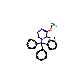 COC1=NCCN(C(c2ccccc2)(c2ccccc2)c2ccccc2)C1C